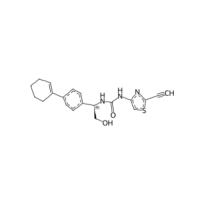 C#Cc1nc(NC(=O)N[C@@H](CO)c2ccc(C3=CCCCC3)cc2)cs1